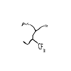 CC(=O)C(Br)C(C)C(F)(F)F